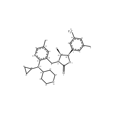 Cc1cc([C@H]2OC(=O)N(Cc3cc(C)cnc3N(C3CCOCC3)C3CC3)[C@H]2C)cc(C(F)(F)F)c1